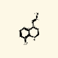 ON=CC1CCNc2c(Br)cccc21